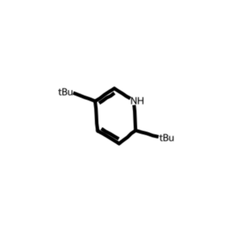 CC(C)(C)C1=CNC(C(C)(C)C)C=C1